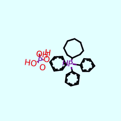 O=P(O)(O)O.c1ccc([PH](c2ccccc2)(c2ccccc2)C2CCCCCCC2)cc1